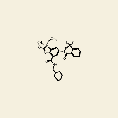 CCn1c(OC)nc2c(C(=O)NCC3CCCCC3)cc(NC(=O)c3ccccc3C(F)(F)F)cc21